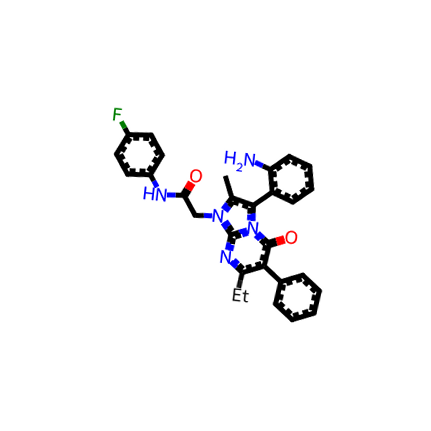 CCc1nc2n(CC(=O)Nc3ccc(F)cc3)c(C)c(-c3ccccc3N)n2c(=O)c1-c1ccccc1